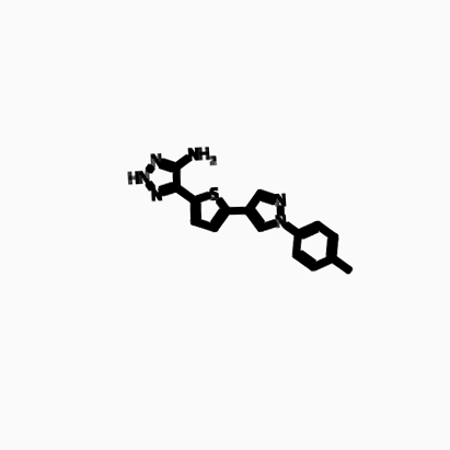 Cc1ccc(-n2cc(-c3ccc(-c4n[nH]nc4N)s3)cn2)cc1